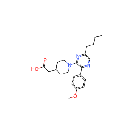 CCCCc1cnc(-c2ccc(OC)cc2)c(N2CCC(CC(=O)O)CC2)n1